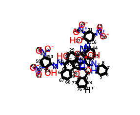 O=C(Nc1ccccc1)c1c(O)c(N=Nc2cc([N+](=O)[O-])cc([N+](=O)[O-])c2O)c2ccccc2c1C1(c2c(C(=O)Nc3ccccc3)c(O)c(N=Nc3cc([N+](=O)[O-])cc([N+](=O)[O-])c3O)c3ccccc23)CCc2ccccc2O1.[H+]